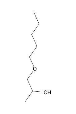 CCCCCOCC(C)O